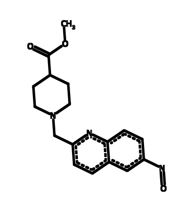 COC(=O)C1CCN(Cc2ccc3cc(N=O)ccc3n2)CC1